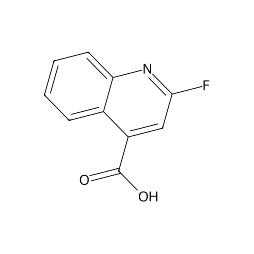 O=C(O)c1cc(F)nc2ccccc12